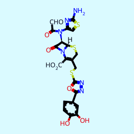 Nc1nc(N(C(=O)C=O)[C@@H]2C(=O)N3C(C(=O)O)=C(CSc4nnc(-c5ccc(O)c(O)c5)o4)CS[C@H]23)cs1